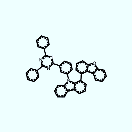 c1ccc(-c2nc(-c3ccccc3)nc(-c3cccc(-n4c5ccccc5c5cccc(-c6cccc7oc8ccccc8c67)c54)c3)n2)cc1